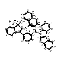 CC1(C)c2ccccc2-c2c1n1c3c(cccc23)B2c3c(cc4ccccc4c3-1)-c1cccc3c4c5ccccc5sc4n2c13